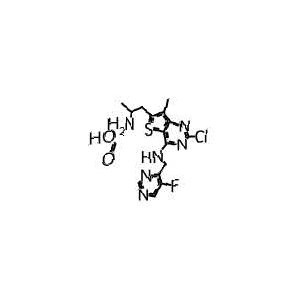 Cc1c(CC(C)N)sc2c(NCc3ncncc3F)nc(Cl)nc12.O=CO